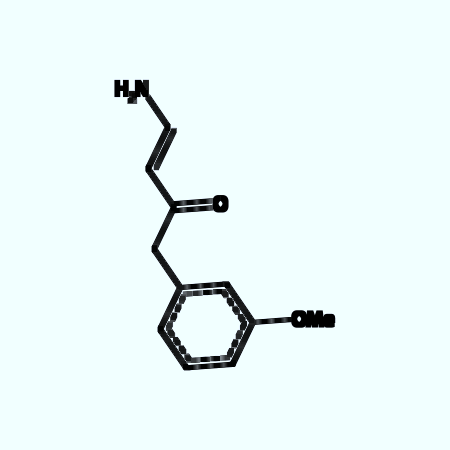 COc1cccc(CC(=O)C=CN)c1